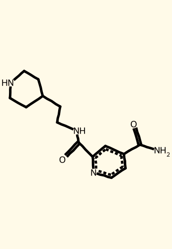 NC(=O)c1ccnc(C(=O)NCCC2CCNCC2)c1